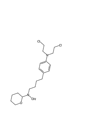 ON(CCCCc1ccc(N(CCCl)CCCl)cc1)C1CCCCO1